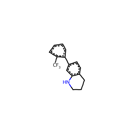 FC(F)(F)c1ccccc1-c1ccc2c(c1)NCCC2